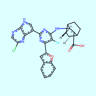 O=C(O)[C@@H]1C2CCC(CC2)[C@H]1Nc1nc(-c2c[nH]c3ncc(Cl)nc23)nc(-c2cc3ccccc3o2)c1F